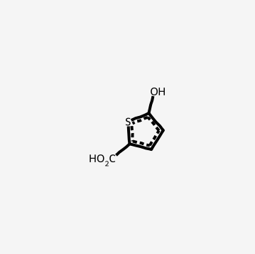 O=C(O)c1ccc(O)s1